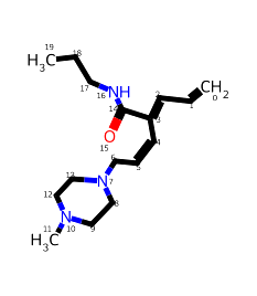 C=C/C=C(\C=C/CN1CCN(C)CC1)C(=O)NCCC